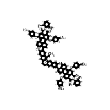 C=Cc1cc(/C=C\c2cc3cc(-c4ccc5c6c(Oc7ccc(C(C)(C)C)cc7)cc7c8c(cc(Oc9ccc(C(C)(C)C)cc9)c(c9cccc4c95)c86)C(=O)N(c4c(C(C)C)cccc4C(C)C)C7=O)c(Cl)cc3cc2C)cc2cc(Cl)c(-c3ccc4c5c(Oc6ccc(C(C)(C)C)cc6)cc6c7c(cc(Oc8ccc(C(C)(C)C)cc8)c(c8cccc3c84)c75)C(=O)N(c3c(C(C)C)cccc3C(C)C)C6=O)cc12